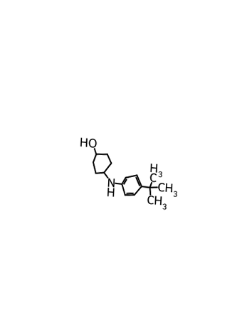 CC(C)(C)c1ccc(NC2CCC(O)CC2)cc1